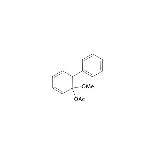 COC1(OC(C)=O)C=CC=CC1c1ccccc1